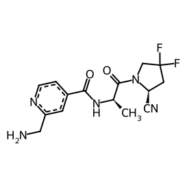 C[C@@H](NC(=O)c1ccnc(CN)c1)C(=O)N1CC(F)(F)C[C@H]1C#N